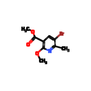 COC(=O)c1cc(Br)c(C)nc1OC